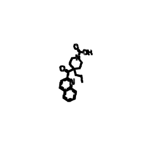 CCCC1(C(=O)c2ccc3ccccc3n2)CCN(C(=O)O)CC1